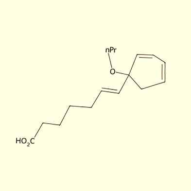 CCCOC1(C=CCCCCC(=O)O)C=CC=CC1